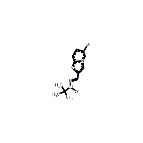 CC(C)(C)[S+]([O-])/N=C/c1cn2cc(Br)ccc2n1